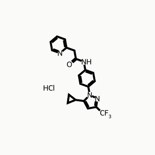 Cl.O=C(Cc1ccccn1)Nc1ccc(-n2nc(C(F)(F)F)cc2C2CC2)cc1